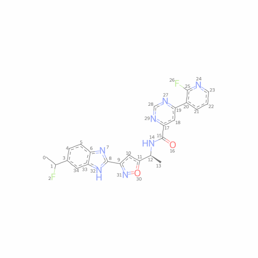 CC(F)c1ccc2nc(-c3cc([C@H](C)NC(=O)c4cc(-c5cccnc5F)ncn4)on3)[nH]c2c1